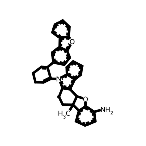 CC12CCc3c(c4ccccc4n3C3=CCCC=C3c3ccc4oc5ccccc5c4c3)C1Oc1c(N)cccc12